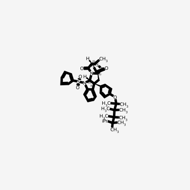 CC(C)C(C)(C)C(C)(C)C(C)(C)C(C)(C)Oc1ccc([C@]23C[C@@]45SS[C@@H](C(=O)N4[C@H]2N(S(=O)(=O)c2ccccc2)c2ccccc23)N(C)C5=O)cc1